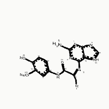 CCC(Sc1nc(N)nc2nc[nH]c12)C(=O)Nc1ccc(O)c(OC)c1